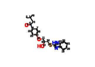 CC(C)CC(=O)c1ccc(OCC(O)CSc2nc3ccccc3[nH]2)cc1